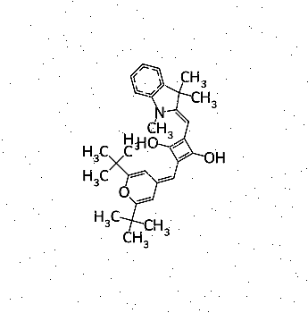 CN1C(=CC2=C(O)C(C=C3C=C(C(C)(C)C)OC(C(C)(C)C)=C3)=C2O)C(C)(C)c2ccccc21